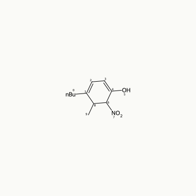 CCCCC1=CC=C(O)C([N+](=O)[O-])C1C